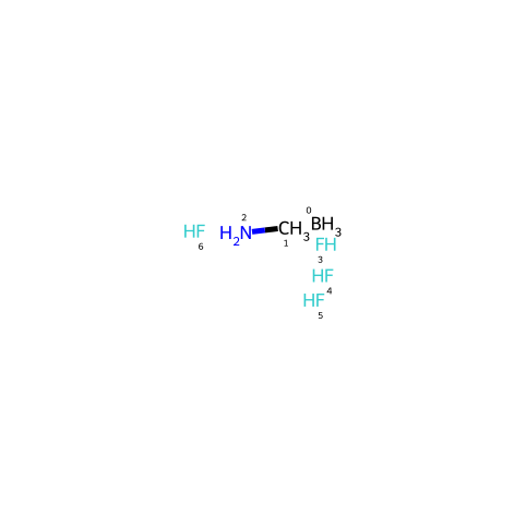 B.CN.F.F.F.F